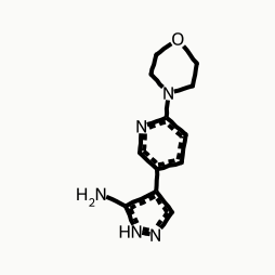 Nc1[nH]ncc1-c1ccc(N2CCOCC2)nc1